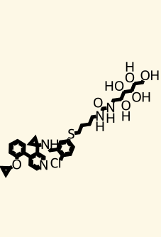 O=C(NCCCCSc1ccc(Cl)c(CNC2(c3cnccc3-c3ccccc3OC3CC3)CC2)c1)NCC(O)C(O)C(O)C(O)CO